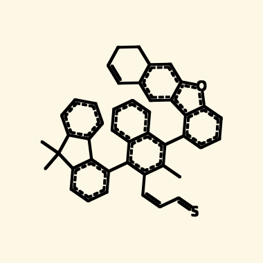 Cc1c(/C=C\C=S)c(-c2cccc3c2-c2ccccc2C3(C)C)c2ccccc2c1-c1cccc2oc3cc4c(cc3c12)C=CCC4